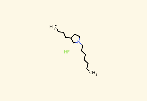 CCCCCCCN1CCC(CCCC)C1.F